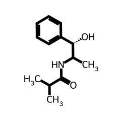 CC(C)C(=O)NC(C)[C@@H](O)c1ccccc1